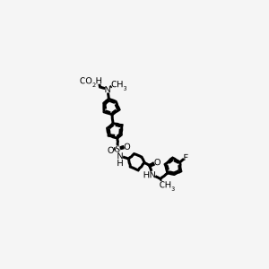 C[C@@H](NC(=O)C1CCC(NS(=O)(=O)c2ccc(-c3ccc(N(C)CC(=O)O)cc3)cc2)CC1)c1ccc(F)cc1